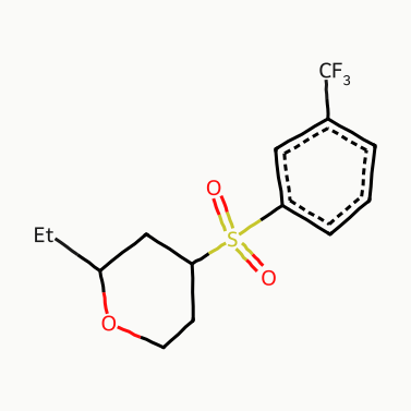 CCC1CC(S(=O)(=O)c2cccc(C(F)(F)F)c2)CCO1